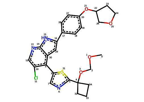 COCOC1(c2ncc(-c3c(Cl)cnc4[nH]c(-c5ccc(OC6CCOC6)cc5)cc34)s2)CCC1